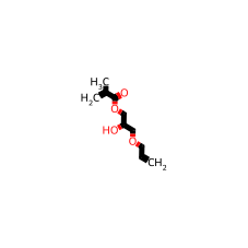 C=CCOCC(O)COC(=O)C(=C)C